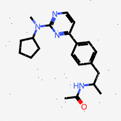 CC(=O)NC(C)Cc1ccc(-c2ccnc(N(C)C3CCCC3)n2)cc1